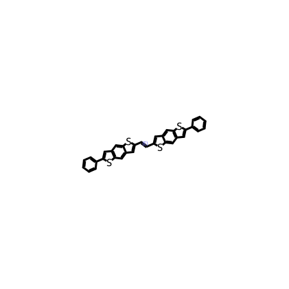 C(=C\c1cc2cc3sc(-c4ccccc4)cc3cc2s1)/c1cc2cc3sc(-c4ccccc4)cc3cc2s1